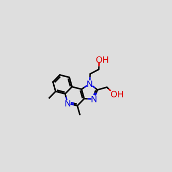 Cc1cccc2c1nc(C)c1nc(CO)n(CCO)c12